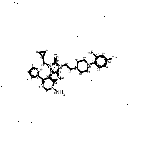 NN1CN=C(c2ccco2)c2c1nc1n(CCN3CCN(c4ccc(F)cc4F)CC3)c(=O)n(CC3CC3)n21